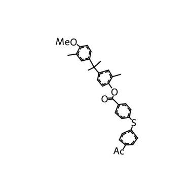 COc1ccc(C(C)(C)c2ccc(OC(=O)c3ccc(Sc4ccc(C(C)=O)cc4)cc3)c(C)c2)cc1C